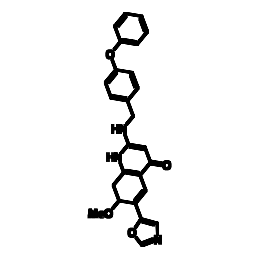 COC1Cc2[nH]c(NCc3ccc(Oc4ccccc4)cc3)cc(=O)c2C=C1c1cnco1